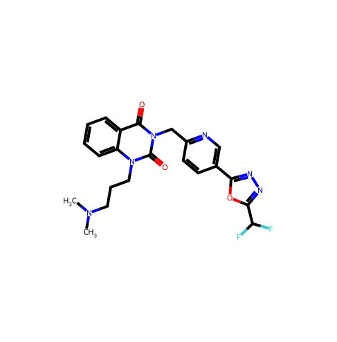 CN(C)CCCn1c(=O)n(Cc2ccc(-c3nnc(C(F)F)o3)cn2)c(=O)c2ccccc21